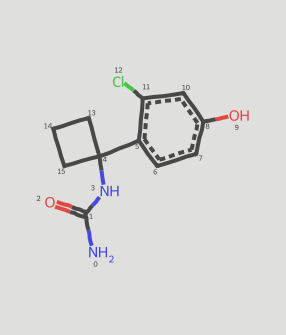 NC(=O)NC1(c2ccc(O)cc2Cl)CCC1